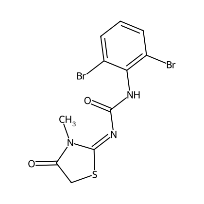 CN1C(=O)CSC1=NC(=O)Nc1c(Br)cccc1Br